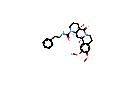 CCOc1cc2c(cc1OCC)[C@H]1C[C@@H]3[C@@H](CCCN3C(=O)NCCc3ccccc3)C(=O)N1CC2